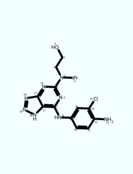 CC(C)N(CCO)c1nc(Nc2ccc(N)c(Cl)c2)c2[nH]nnc2n1